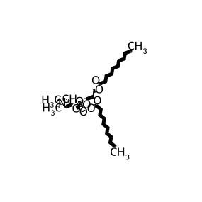 CCCCCCCCCCC(=O)OC[C@H](COP(=O)([O-])OCC[N+](C)(C)C)OC(=O)CCCCCCCCCC